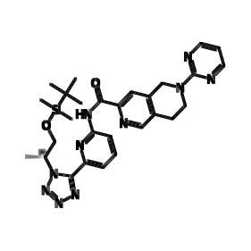 C[C@H](CO[Si](C)(C)C(C)(C)C)n1nnnc1-c1cccc(NC(=O)c2cc3c(cn2)CCN(c2ncccn2)C3)n1